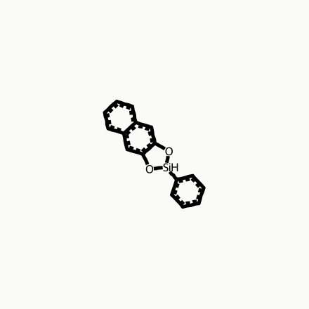 c1ccc([SiH]2Oc3cc4ccccc4cc3O2)cc1